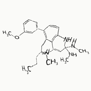 CCCC(=N)Cc1c(-c2cccc(OC)c2)ccc2c1C(NC)=CC(NC)(NC)N2